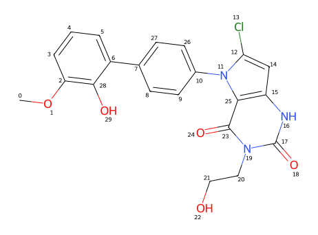 COc1cccc(-c2ccc(-n3c(Cl)cc4[nH]c(=O)n(CCO)c(=O)c43)cc2)c1O